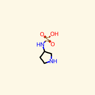 O=S(=O)(O)NC1CCNC1